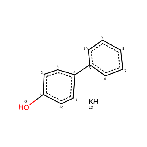 Oc1ccc(-c2ccccc2)cc1.[KH]